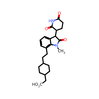 CN1C(=O)C(C2CCC(=O)NC2=O)c2cccc(CCC3CCC(CC(=O)O)CC3)c21